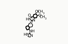 COc1cc2nc(N3CCc4c(cccc4NC4=NCCN4)C3)[nH]c(=O)c2cc1OC